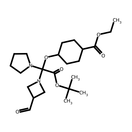 CCOC(=O)C1CCC(OC(C(=O)OC(C)(C)C)(N2CCCC2)N2CC(C=O)C2)CC1